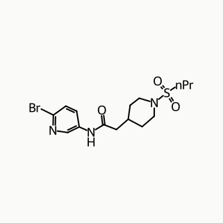 CCCS(=O)(=O)N1CCC(CC(=O)Nc2ccc(Br)nc2)CC1